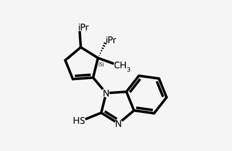 CC(C)C1CC=C(n2c(S)nc3ccccc32)[C@@]1(C)C(C)C